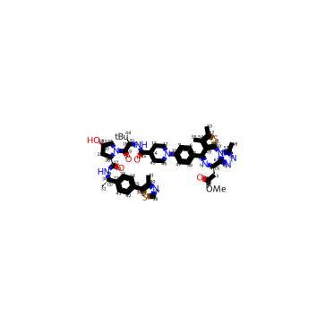 COC(=O)C[C@@H]1N=C(c2ccc(N3CCC(C(=O)N[C@H](C(=O)N4C[C@H](O)C[C@H]4C(=O)N[C@@H](C)c4ccc(-c5scnc5C)cc4)C(C)(C)C)CC3)cc2)c2c(sc(C)c2C)-n2c(C)nnc21